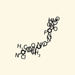 C[C@@H]1CN(c2ccc(C#N)c(Cl)c2)[C@@H](C)CN1C(=O)Nc1ccc(N2CCC(CN3CCN(c4cc5c(cc4F)C(=O)N(C4CCC(=O)NC4=O)C5=O)CC3)CC2)nc1